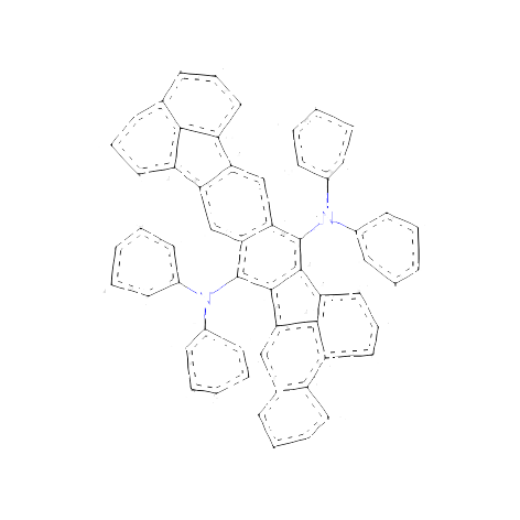 c1ccc(N(c2ccccc2)c2c3cc4c(cc3c(N(c3ccccc3)c3ccccc3)c3c5cc6ccccc6c6cccc(c23)c65)c2cccc3cccc4c32)cc1